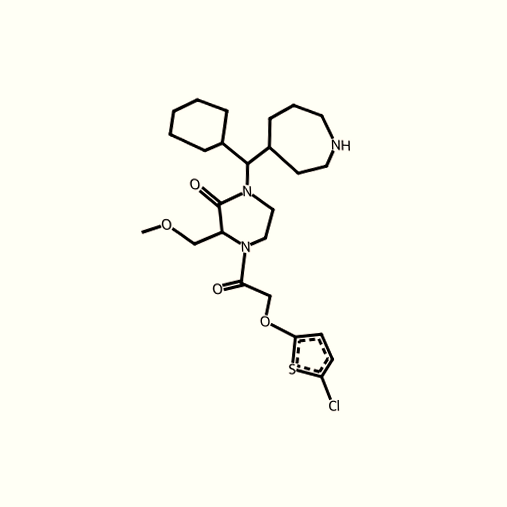 COCC1C(=O)N(C(C2CCCCC2)C2CCCNCC2)CCN1C(=O)COc1ccc(Cl)s1